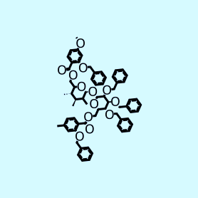 COc1ccc(C(=O)OCC2O[C@H](O[C@H]3OC(COC(=O)c4ccc(C)cc4OCc4ccccc4)[C@@H](OCc4ccccc4)[C@H](OCc4ccccc4)C3OCc3ccccc3)C(C)[C@@H](C)[C@@H]2C)c(OCc2ccccc2)c1